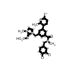 Cc1nc(F)ccc1-c1cc(Cn2ccn(C)/c2=N\C(=O)O)cc(C(=O)N(C)Cc2ccc(Cl)c(Cl)c2)c1